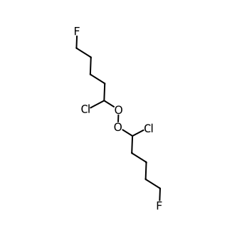 FCCCCC(Cl)OOC(Cl)CCCCF